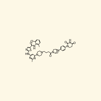 Cc1nc(Nc2ncc(C(=O)Nc3c(C)cccc3Cl)s2)cc(N2CCN(CCCC(=O)N3CC4CC3CN4c3ccc(N4CCC(=O)NC4=O)cc3)CC2)n1